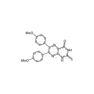 COc1ccc(-c2nc3[nH]c(=S)[nH]c(=O)c3nc2-c2ccc(OC)cc2)cc1